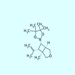 C=C(C)[C@@H]1[C@H](B2OC(C)(C)C(C)(C)O2)[C@H]2COC[C@]21C